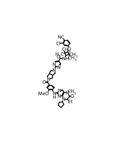 CC[C@@H]1C(=O)N(C)c2cnc(Nc3ccc(C(=O)N4CC5CN(c6ncc(C(=O)NC7C(C)(C)C(Oc8ccc(C#N)c(Cl)c8)C7(C)C)cn6)CC5C4)cc3OC)nc2N1C1CCCC1